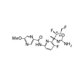 COc1cnc(C(=O)Nc2ccc(F)c([C@@]3(C)N=C(N)O[C@H](CF)[C@@H]3F)n2)cn1